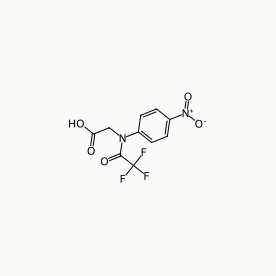 O=C(O)CN(C(=O)C(F)(F)F)c1ccc([N+](=O)[O-])cc1